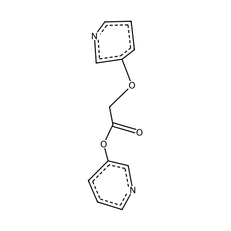 O=C(COc1cccnc1)Oc1cccnc1